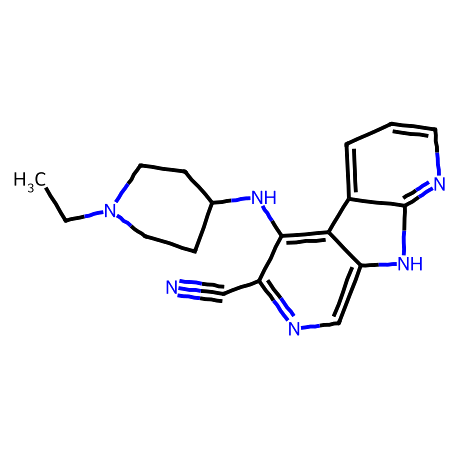 CCN1CCC(Nc2c(C#N)ncc3[nH]c4ncccc4c23)CC1